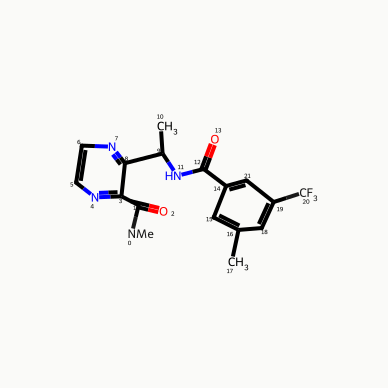 CNC(=O)c1nccnc1C(C)NC(=O)c1cc(C)cc(C(F)(F)F)c1